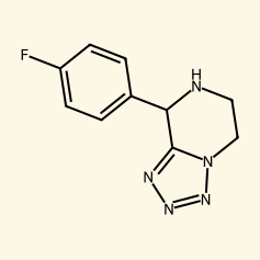 Fc1ccc(C2NCCn3nnnc32)cc1